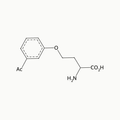 CC(=O)c1cccc(OCCC(N)C(=O)O)c1